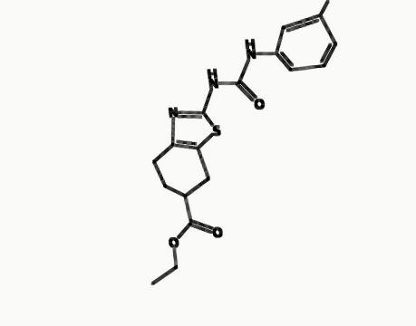 CCOC(=O)C1CCc2nc(NC(=O)Nc3cccc(C)c3)sc2C1